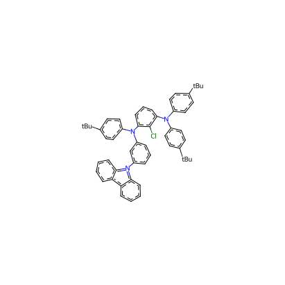 CC(C)(C)c1ccc(N(c2ccc(C(C)(C)C)cc2)c2cccc(N(c3ccc(C(C)(C)C)cc3)c3cccc(-n4c5ccccc5c5ccccc54)c3)c2Cl)cc1